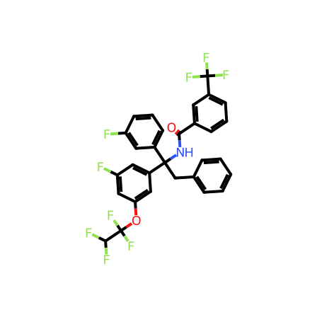 O=C(NC(Cc1ccccc1)(c1cccc(F)c1)c1cc(F)cc(OC(F)(F)C(F)F)c1)c1cccc(C(F)(F)F)c1